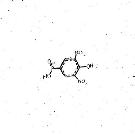 O=[N+]([O-])c1cc([PH](=O)O)cc([N+](=O)[O-])c1O